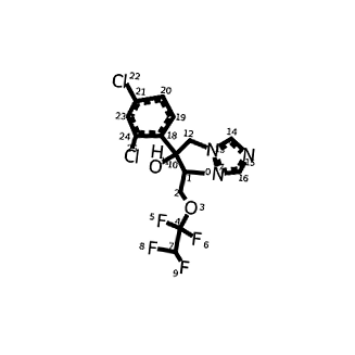 CC(COC(F)(F)C(F)F)C(O)(Cn1cncn1)c1ccc(Cl)cc1Cl